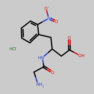 Cl.NCC(=O)NC(CC(=O)O)Cc1ccccc1[N+](=O)[O-]